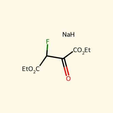 CCOC(=O)C(=O)C(F)C(=O)OCC.[NaH]